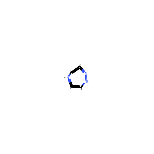 C1=CNN=C=CN=1